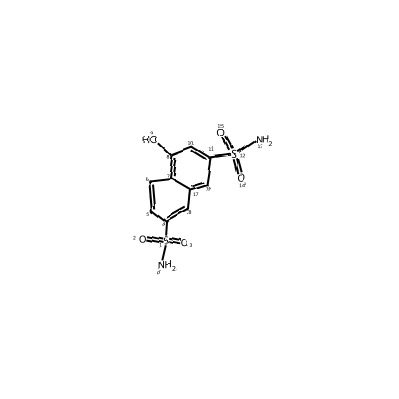 NS(=O)(=O)c1ccc2c(O)cc(S(N)(=O)=O)cc2c1